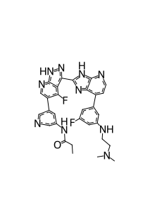 CCC(=O)Nc1cncc(-c2cnc3[nH]nc(-c4nc5c(-c6cc(F)cc(NCCN(C)C)c6)ccnc5[nH]4)c3c2F)c1